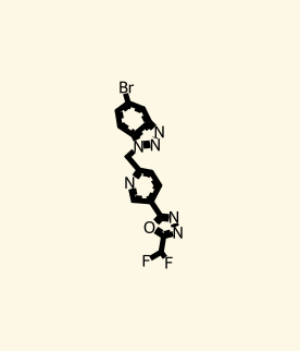 FC(F)c1nnc(-c2ccc(Cn3nnc4cc(Br)ccc43)nc2)o1